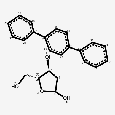 OC[C@H]1OC(O)C[C@@H]1O.c1ccc(-c2ccc(-c3ccccc3)cc2)cc1